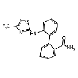 NC(=O)c1ccccc1-c1ccccc1Nc1nc(C(F)(F)F)ns1